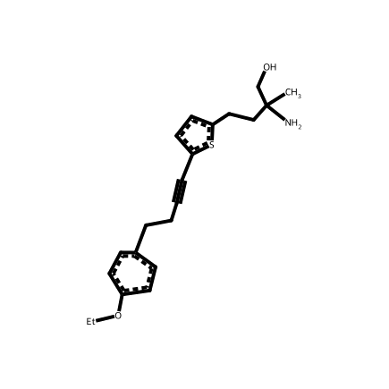 CCOc1ccc(CCC#Cc2ccc(CCC(C)(N)CO)s2)cc1